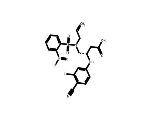 C=CCN(C[C@H](CC(=O)O)Nc1ccc(C#N)c(Cl)c1)S(=O)(=O)c1ccccc1[N+](=O)[O-]